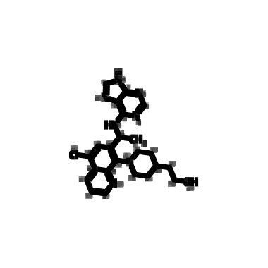 CC(Nc1ncnc2[nH]cnc12)c1cc(Cl)c2cccnc2c1N1CCC(CCO)CC1